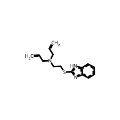 C=CCN(CC=C)CCSc1nc2ccccc2[nH]1